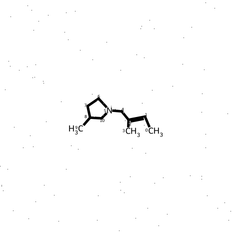 C/C=C(\C)CN1CCC(C)C1